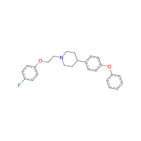 Fc1ccc(OCCN2CCC(c3ccc(Oc4ccccc4)cc3)CC2)cc1